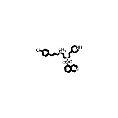 CN(CC=Cc1ccc(Cl)cc1)CCN(CCC1CCNCC1)S(=O)(=O)c1cccc2cnccc12